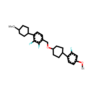 CCOc1ccc(C2CCC(OCc3ccc(C4CCC(OC)CC4)c(F)c3F)CC2)c(F)c1